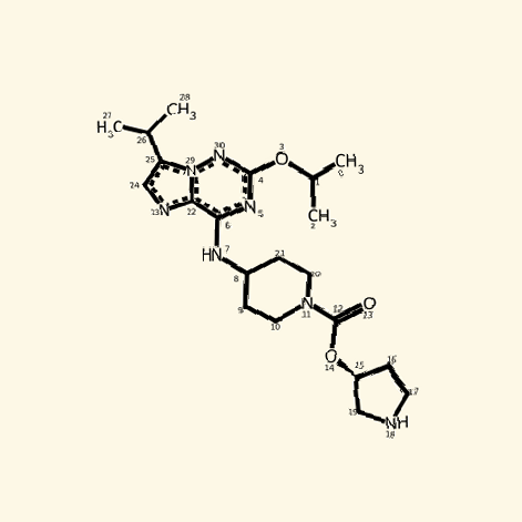 CC(C)Oc1nc(NC2CCN(C(=O)O[C@H]3CCNC3)CC2)c2ncc(C(C)C)n2n1